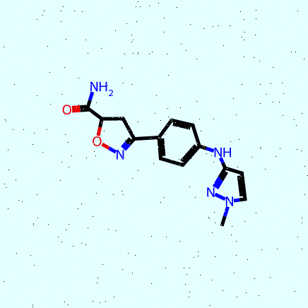 Cn1ccc(Nc2ccc(C3=NOC(C(N)=O)C3)cc2)n1